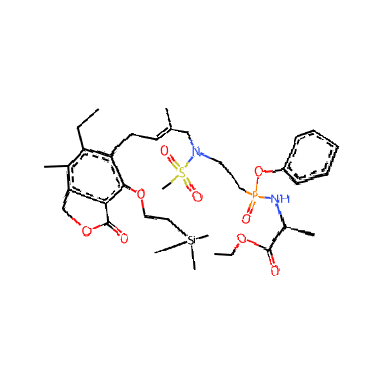 CCOC(=O)[C@H](C)NP(=O)(CCN(C/C(C)=C/Cc1c(CC)c(C)c2c(c1OCC[Si](C)(C)C)C(=O)OC2)S(C)(=O)=O)Oc1ccccc1